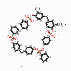 Cc1cc(Cc2ccc(OS(=O)(=O)c3ccccc3)c(C)c2)ccc1OS(=O)(=O)c1ccccc1.O=S(=O)(Oc1ccc(Cc2ccc(OS(=O)(=O)c3ccccc3)cc2)cc1)c1ccccc1